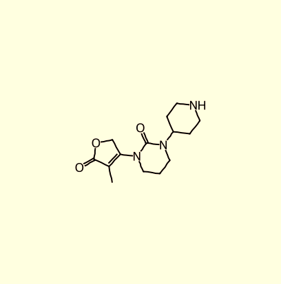 CC1=C(N2CCCN(C3CCNCC3)C2=O)COC1=O